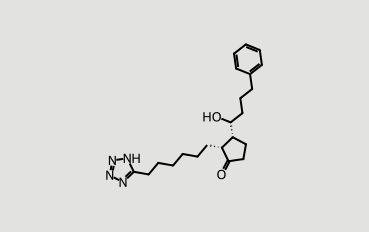 O=C1CC[C@@H](C(O)CCCc2ccccc2)[C@H]1CCCCCCc1nnn[nH]1